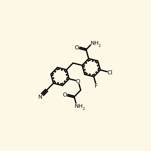 N#Cc1ccc(Cc2cc(F)c(Cl)cc2C(N)=O)c(OCC(N)=O)c1